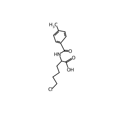 Cc1ccc(C(=O)NC(CCCCCl)C(=O)O)cc1